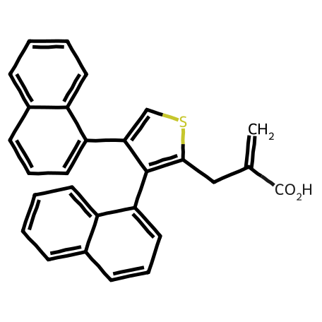 C=C(Cc1scc(-c2cccc3ccccc23)c1-c1cccc2ccccc12)C(=O)O